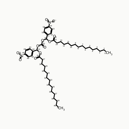 CCCCCCCCCCCCCCCC(=O)OC(OC(=O)OC(OC(=O)CCCCCCCCCCCCCCC)c1ccc([N+](=O)[O-])cc1)c1ccc([N+](=O)[O-])cc1